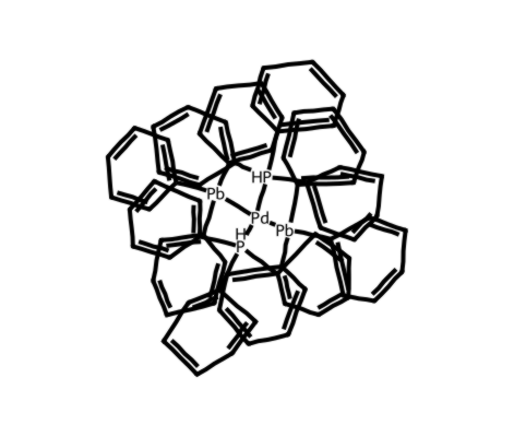 c1ccc([PH](c2ccccc2)(c2ccccc2)[Pd]([PH](c2ccccc2)(c2ccccc2)c2ccccc2)([Pb]([c]2ccccc2)([c]2ccccc2)[c]2ccccc2)[Pb]([c]2ccccc2)([c]2ccccc2)[c]2ccccc2)cc1